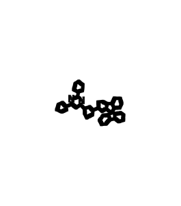 c1ccc(-c2cc(-c3cccc(-c4ccc5c(c4)C4(c6ccccc6-c6ccccc64)c4ccccc4-5)c3)nc(-c3ccccc3)n2)cc1